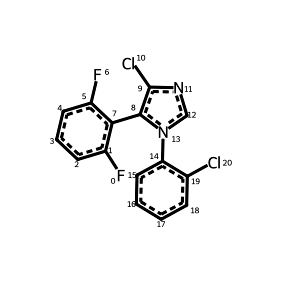 Fc1cccc(F)c1-c1c(Cl)ncn1-c1ccccc1Cl